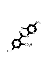 Cc1ccc(C(=O)Nc2ncc(C(F)(F)F)cc2Cl)c(C(=O)O)c1